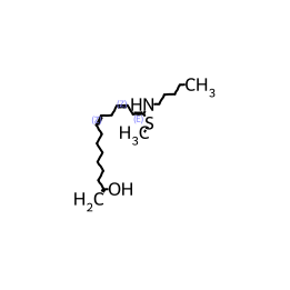 C=C(O)CCCCCC/C=C\C/C=C\C=C(/NCCCCC)SC